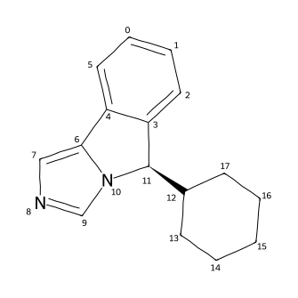 c1ccc2c(c1)-c1cncn1[C@@H]2C1CCCCC1